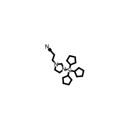 N#CCCN1CCN([Si](C2CCCC2)(C2CCCC2)C2CCCC2)C1